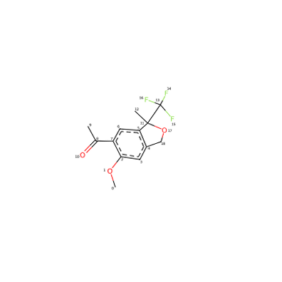 COc1cc2c(cc1C(C)=O)C(C)(C(F)(F)F)OC2